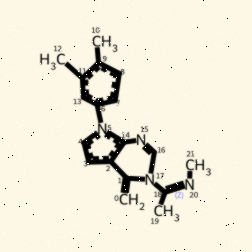 C=C1c2ccn(-c3ccc(C)c(C)c3)c2N=CN1/C(C)=N\C